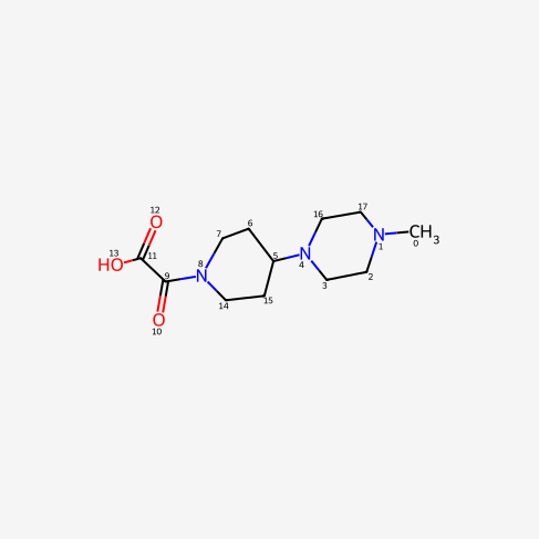 CN1CCN(C2CCN(C(=O)C(=O)O)CC2)CC1